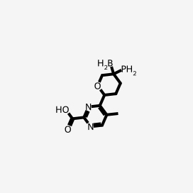 BC1(P)CCC(c2nc(C(=O)O)ncc2C)OC1